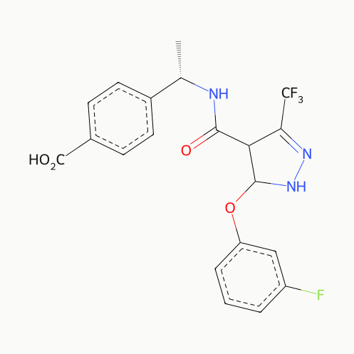 C[C@H](NC(=O)C1C(C(F)(F)F)=NNC1Oc1cccc(F)c1)c1ccc(C(=O)O)cc1